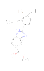 CCCOC(=O)c1ccc2[nH]c(-c3ccc(C)c(S)c3OC)nc2c1